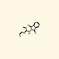 C=N/C(=N\C=C/C)NN1C(=O)c2ccccc2C1=O